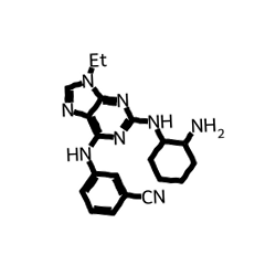 CCn1cnc2c(Nc3cccc(C#N)c3)nc(NC3CCCCC3N)nc21